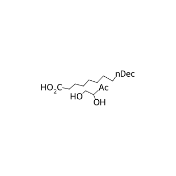 CC(=O)C(O)CO.CCCCCCCCCCCCCCCCCC(=O)O